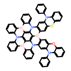 c1ccc(N2c3ccccc3Oc3cc4c(cc32)N2c3ccccc3B3c5ccccc5N5c6ccccc6B6c7ccccc7N7c8cc9c(cc8B4c4c2c3c5c6c47)Sc2ccccc2N9c2ccccc2)cc1